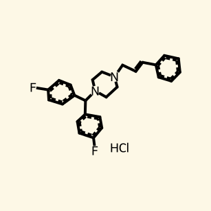 Cl.Fc1ccc(C(c2ccc(F)cc2)N2CCN(CC=Cc3ccccc3)CC2)cc1